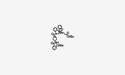 COc1ccccc1C(=O)NC1CCN(C(=O)[C@H]2CC[C@@](C(=O)NCCC(=O)OC(C)(C)C)(c3ccccc3)c3ccccc32)CC1